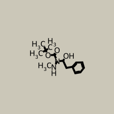 CNN(C(=O)OC(C)(C)C)C(O)Cc1ccccc1